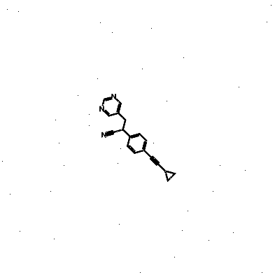 N#CC(Cc1cncnc1)c1ccc(C#CC2CC2)cc1